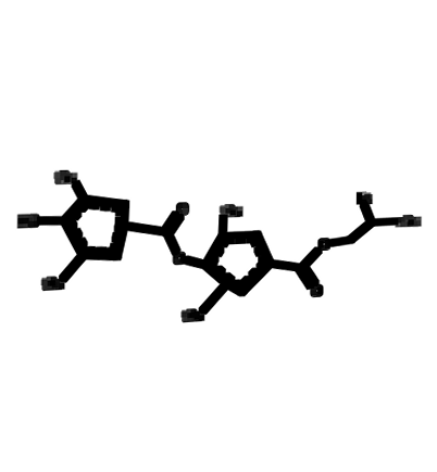 CCCCC(CC)COC(=O)c1cc(C(C)(C)C)c(OC(=O)c2cc(C(C)(C)C)c(O)c(C(C)(C)C)c2)c(C(C)(C)C)c1